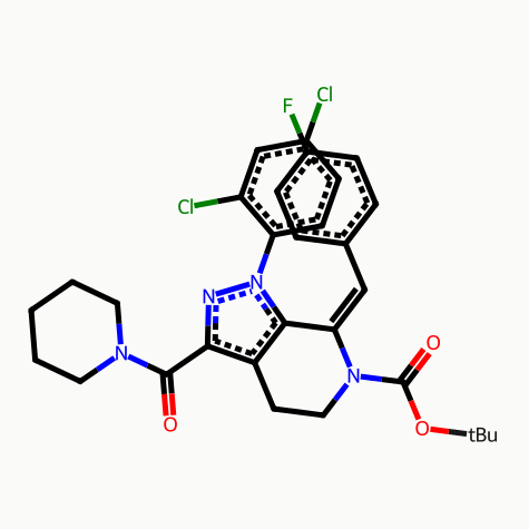 CC(C)(C)OC(=O)N1CCc2c(C(=O)N3CCCCC3)nn(-c3ccc(Cl)cc3Cl)c2/C1=C\c1ccc(F)cc1